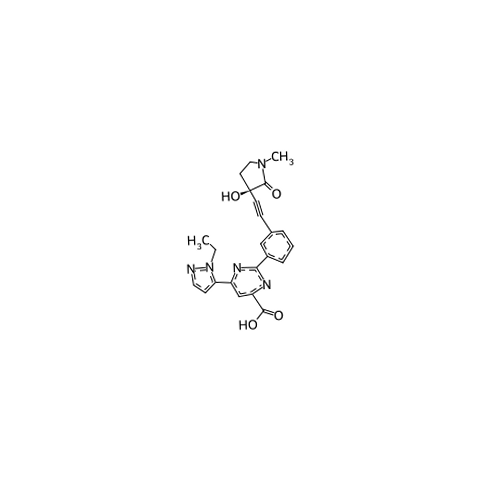 CCn1nccc1-c1cc(C(=O)O)nc(-c2cccc(C#C[C@]3(O)CCN(C)C3=O)c2)n1